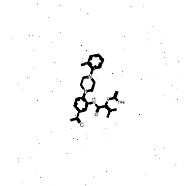 C=C(O)SC(C(=O)Nc1cc(C(C)=O)ccc1N1CCN(c2ccccc2C)CC1)=C(C)C